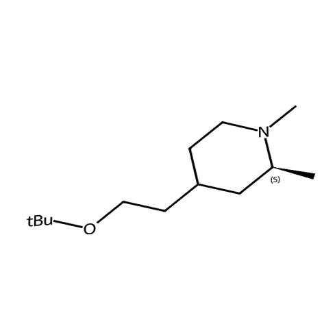 C[C@H]1CC(CCOC(C)(C)C)CCN1C